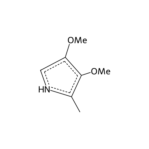 COc1c[nH]c(C)c1OC